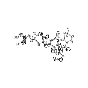 COC[C@H](C)N(C(=O)C1CCC(C)CC1)c1cc(F)c(Oc2ncc(CCn3nccn3)cc2C(F)(F)F)cc1C(=O)O